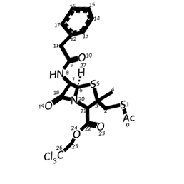 CC(=O)SCC1(C)S[C@@H]2C(NC(=O)Cc3ccccc3)C(=O)N2C1C(=O)OCC(Cl)(Cl)Cl